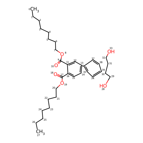 CCCCCCCCOC(=O)c1ccccc1C(=O)OCCCCCCCC.OCCCCO.c1ccccc1